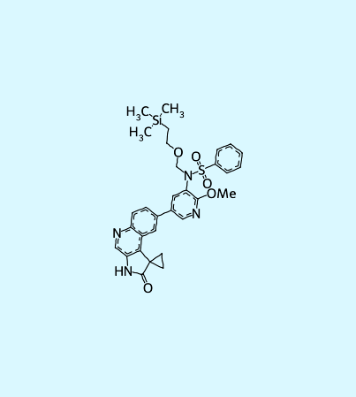 COc1ncc(-c2ccc3ncc4c(c3c2)C2(CC2)C(=O)N4)cc1N(COCC[Si](C)(C)C)S(=O)(=O)c1ccccc1